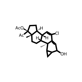 CC(=O)O[C@@]1(C(C)=O)CC[C@H]2[C@@H]3C=C(Cl)C4=CC(O)C5CC5[C@@]4(C)[C@@H]3CC[C@@]21C